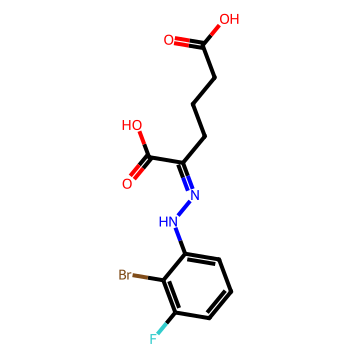 O=C(O)CCCC(=NNc1cccc(F)c1Br)C(=O)O